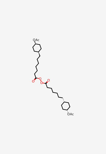 CC(=O)O[C@H]1CC[C@@H](CCCCCCC(=O)OOC(=O)CCCCCC[C@H]2CC[C@@H](OC(C)=O)CC2)CC1